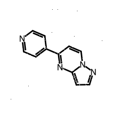 c1cc(-c2ccn3nccc3n2)ccn1